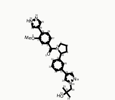 COc1cc(C(=O)N2CCCC2c2cccc(-c3cnn(CC(C)(C)O)c3)c2)ccc1-c1cn[nH]c1